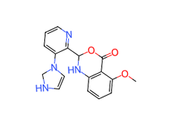 COc1cccc2c1C(=O)OC(c1ncccc1N1C=CNC1)N2